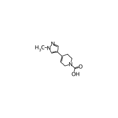 Cn1cc(C2=CCN(C(=O)O)CC2)cn1